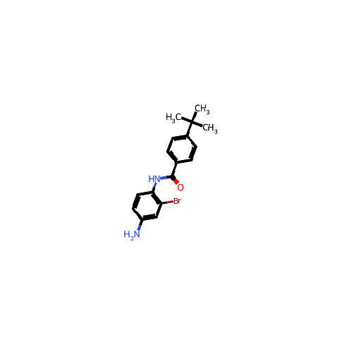 CC(C)(C)c1ccc(C(=O)Nc2ccc(N)cc2Br)cc1